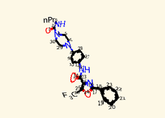 CCCNC(=O)N1CCN(c2ccc(NC(=O)c3nc(-c4ccccc4)oc3C(F)(F)F)cc2)CC1